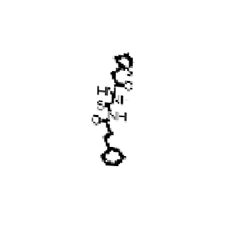 O=C(/C=C/c1ccccc1)NC(=S)NNC(=O)Cc1cccs1